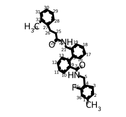 Cc1ccc(CNC(=O)c2ccccc2-c2ccccc2CNC(=O)CCc2ccccc2C)c(F)c1